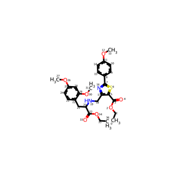 CCOC(=O)c1sc(-c2ccc(OC)cc2)nc1CNC(Cc1ccc(OC)cc1OC)C(=O)OCC